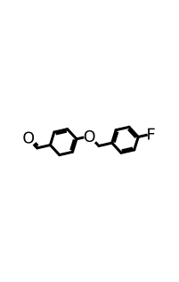 O=CC1C=CC(OCc2ccc(F)cc2)=CC1